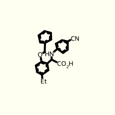 CCc1ccc(OCc2ccccc2)c(C(Nc2ccc(C#N)cc2)C(=O)O)c1